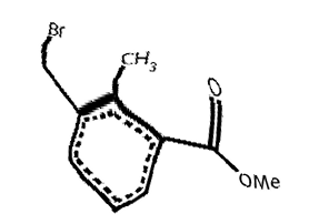 COC(=O)c1cccc(CBr)c1C